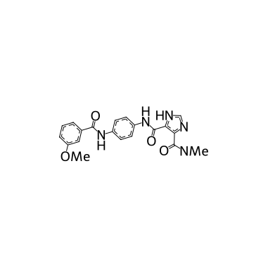 CNC(=O)c1nc[nH]c1C(=O)Nc1ccc(NC(=O)c2cccc(OC)c2)cc1